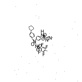 Cc1c(F)c(F)c(S(=O)(=O)N(C)CC(=O)N(Cc2ccc(C3CCCCC3)cc2)c2ccc(NS(=O)(=O)c3cn(C)cn3)cc2)c(F)c1F